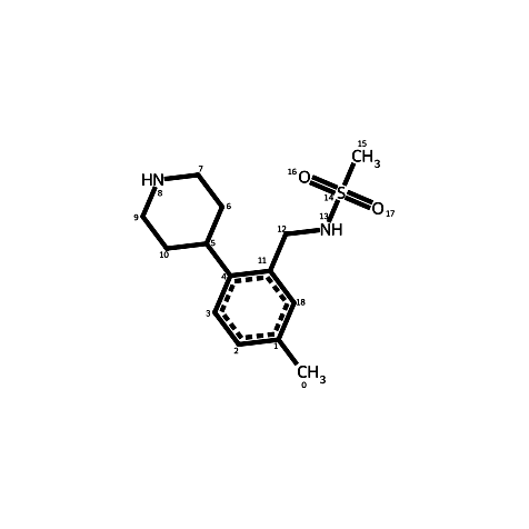 Cc1ccc(C2CCNCC2)c(CNS(C)(=O)=O)c1